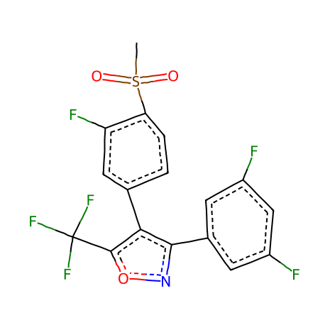 CS(=O)(=O)c1ccc(-c2c(-c3cc(F)cc(F)c3)noc2C(F)(F)F)cc1F